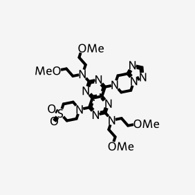 COCCN(CCOC)c1nc(N2CCn3ncnc3C2)c2nc(N(CCOC)CCOC)nc(N3CCS(=O)(=O)CC3)c2n1